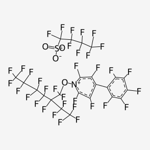 Fc1c(F)c(F)c(-c2c(F)c(F)[n+](OC(F)(F)C(F)(C(F)(F)C(F)(F)F)C(F)(F)C(F)(F)C(F)(F)C(F)(F)F)c(F)c2F)c(F)c1F.O=S(=O)([O-])C(F)(F)C(F)(F)C(F)(F)C(F)(F)F